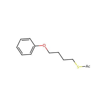 CC(=O)SCCCCOc1ccccc1